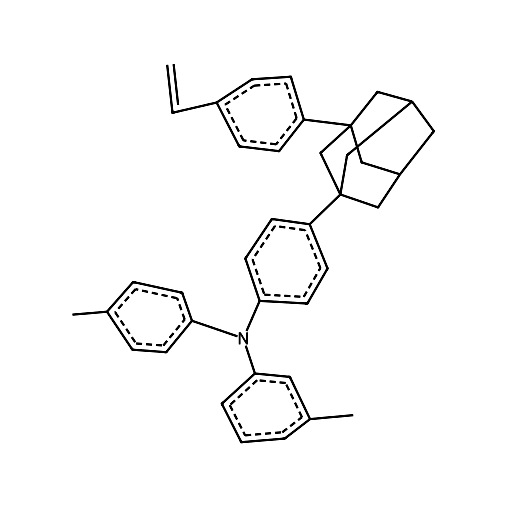 C=Cc1ccc(C23CC4CC(C2)CC(c2ccc(N(c5ccc(C)cc5)c5cccc(C)c5)cc2)(C4)C3)cc1